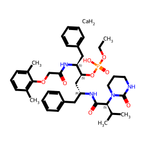 CCOP(=O)(O)O[C@@H](C[C@@H](Cc1ccccc1)NC(=O)[C@H](C(C)C)N1CCCNC1=O)[C@H](Cc1ccccc1)NC(=O)COc1c(C)cccc1C.[CaH2]